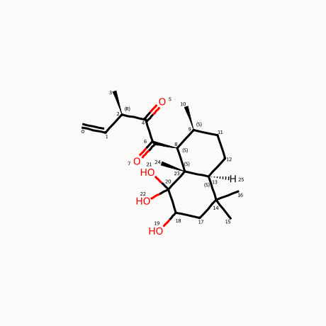 C=C[C@@H](C)C(=O)C(=O)[C@H]1[C@@H](C)CC[C@H]2C(C)(C)CC(O)C(O)(O)[C@]12C